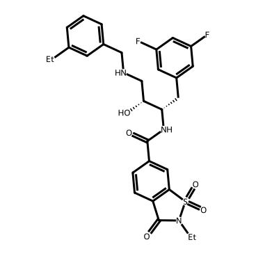 CCc1cccc(CNC[C@@H](O)[C@H](Cc2cc(F)cc(F)c2)NC(=O)c2ccc3c(c2)S(=O)(=O)N(CC)C3=O)c1